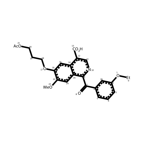 CCOc1cccc(C(=O)c2ncc(C(=O)O)c3cc(OCCCOC(C)=O)c(OC)cc23)c1